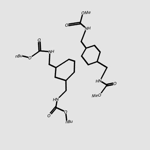 CCCCOC(=O)NCC1CCCC(CNC(=O)OCCCC)C1.COC(=O)NCC1CCC(CNC(=O)OC)CC1